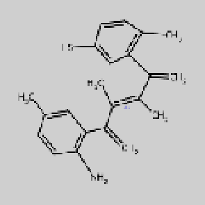 C=C(/C(C)=C(\C)C(=C)c1cc(C)ccc1N)c1cc(S)ccc1C